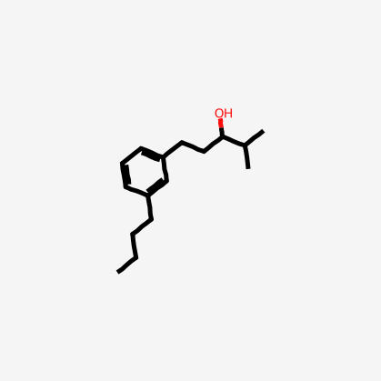 CCCCc1cccc(CCC(O)C(C)C)c1